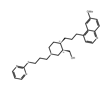 COc1ccc2nccc(CCC[C@@H]3CCN(CCCSc4ncccn4)C[C@@H]3CO)c2c1